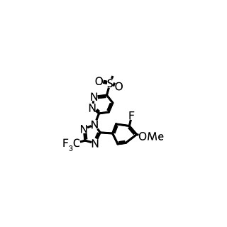 COc1ccc(-c2nc(C(F)(F)F)nn2-c2ccc(S(C)(=O)=O)nn2)cc1F